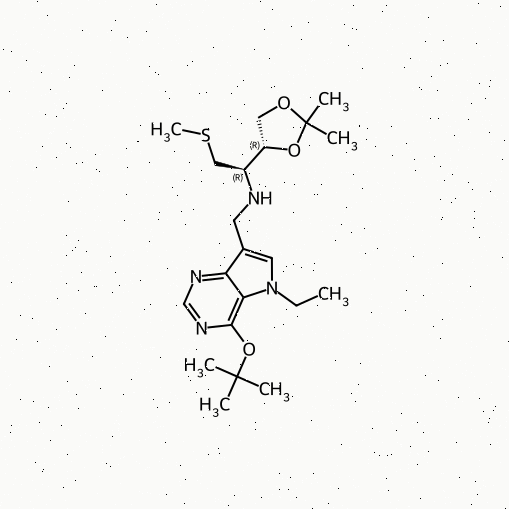 CCn1cc(CN[C@@H](CSC)[C@@H]2COC(C)(C)O2)c2ncnc(OC(C)(C)C)c21